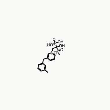 Cc1cccc(Cc2ccc[n+](CC(O)(P(C)(=O)O)P(=O)(O)O)c2)c1